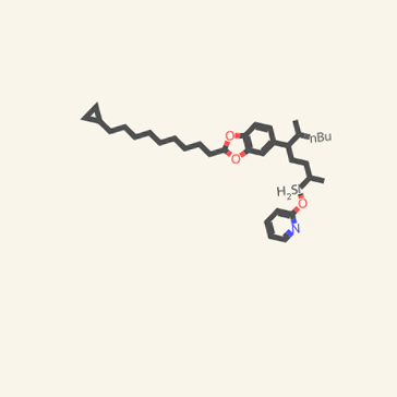 CCCCC(C)C(CCC(C)[SiH2]Oc1ccccn1)c1ccc2c(c1)OC(CCCCCCCCCC1CC1)O2